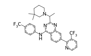 CC(c1nc(Nc2ccc(C(F)(F)F)cc2)c2ccc(-c3ncccc3C(F)(F)F)cc2n1)N1CCCC(C)(C)C1